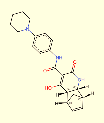 O=C(Nc1ccc(N2CCCCC2)cc1)C1=C(O)[C@@H]2[C@H](NC1=O)[C@@H]1C=C[C@H]2C1